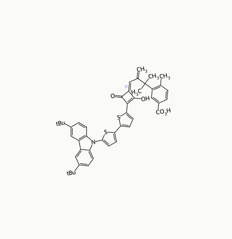 C=C(/C=C1/C(=O)C(c2ccc(-c3ccc(-n4c5ccc(C(C)(C)C)cc5c5cc(C(C)(C)C)ccc54)s3)s2)=C1O)C(C)(C)c1cc(C(=O)O)ccc1C